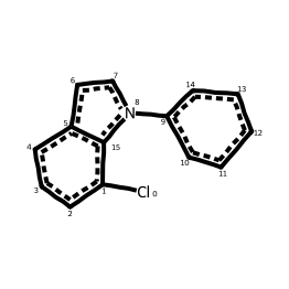 Clc1cccc2ccn(-c3ccccc3)c12